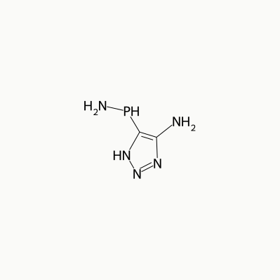 NPc1[nH]nnc1N